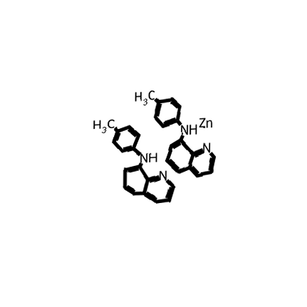 Cc1ccc(Nc2cccc3cccnc23)cc1.Cc1ccc(Nc2cccc3cccnc23)cc1.[Zn]